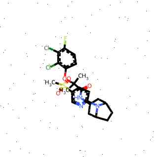 CC(C)(Oc1ccc(F)c(Cl)c1Cl)C(=O)NC1CC2CCC(C1)N2c1ccc(S(C)(=O)=O)cn1